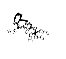 CNc1ncccc1CNCC(=O)OC(C)(C)C